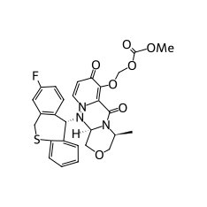 COC(=O)OCOc1c2n(ccc1=O)N([C@H]1c3ccc(F)cc3CSc3ccccc31)[C@@H]1COC[C@H](C)N1C2=O